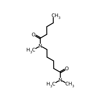 CCCCC(=O)N(C)CCCCC(=O)N(C)C